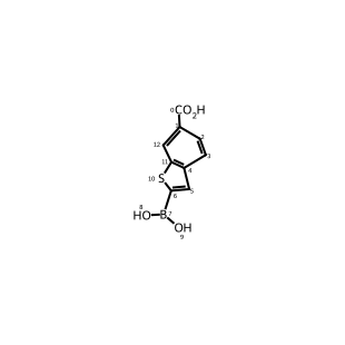 O=C(O)c1ccc2cc(B(O)O)sc2c1